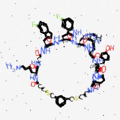 NCCCC[C@@H]1NC(=O)CCSCc2cccc(c2)CSCCNC(=O)[C@@H]2CCCN2C(=O)[C@H](Cc2ccc(O)cc2)NC(=O)[C@H](Cc2c[nH]cn2)NC(=O)[C@H](CC(=O)O)NC(=O)[C@H](Cc2c[nH]c3ccc(F)cc23)NC(=O)[C@H](CC2=CCc3ccc(F)cc32)NC(=O)CNC1=O